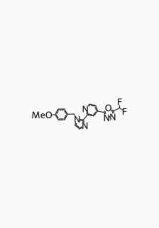 COc1ccc(Cn2ccnc2-c2cc(-c3nnc(C(F)F)o3)ccn2)cc1